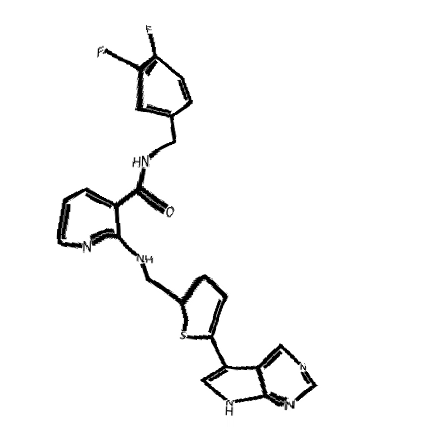 O=C(NCc1ccc(F)c(F)c1)c1cccnc1NCC1CC=C(c2c[nH]c3ncncc23)S1